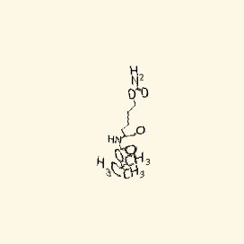 CC(C)(C)OC(=O)NC(C=O)CCCCOC(N)=O